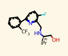 CC(C)[C@H](CO)NCc1nc(-c2ccccc2C(F)(F)F)ccc1F